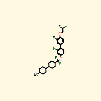 CCC1CCC(C2CCC(C(F)(F)Oc3ccc(-c4ccc(OC=C(F)F)c(F)c4)c(F)c3)CC2)CC1